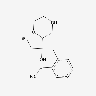 CC(C)CC(O)(Cc1ccccc1OC(F)(F)F)C1CNCCO1